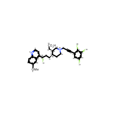 COc1ccc2nccc([C@H](F)CC[C@@H]3CCN(CC#Cc4cc(F)cc(F)c4F)C[C@@H]3CC(=O)O)c2c1